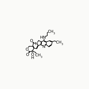 CCCNc1c2c(nc3ccc(CC)cc13)-c1cc3c(c(=O)n1C2)COC(=O)[C@]3(O)CC